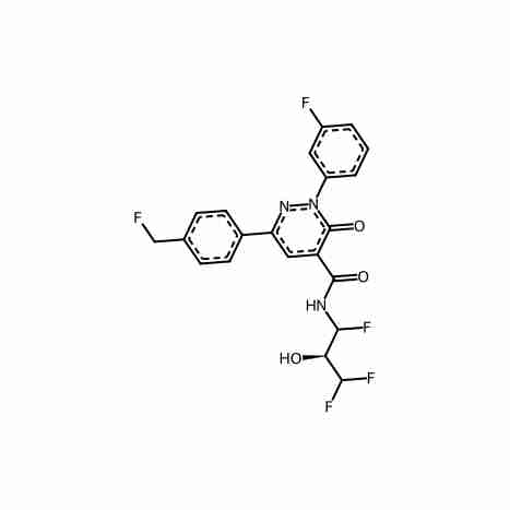 O=C(NC(F)[C@H](O)C(F)F)c1cc(-c2ccc(CF)cc2)nn(-c2cccc(F)c2)c1=O